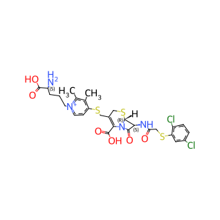 Cc1c(SCC2=C(C(=O)O)N3C(=O)[C@H](NC(=O)CSc4cc(Cl)ccc4Cl)[C@H]3SC2)cc[n+](CCC[C@H](N)C(=O)O)c1C